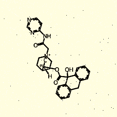 O=C(C[N+]12CCC(CC1)[C@@H](OC(=O)C1(O)c3ccccc3Cc3ccccc31)C2)Nc1ccncn1